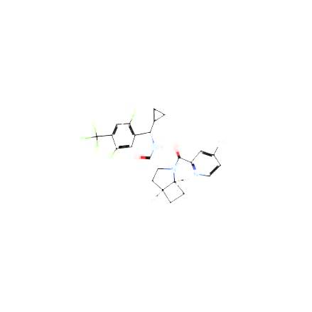 Cc1ccnc(C(=O)N2[C@@H](C(=O)N[C@@H](c3cc(F)c(C(F)(F)F)cc3F)C3CC3)C[C@H]3CC[C@H]32)c1